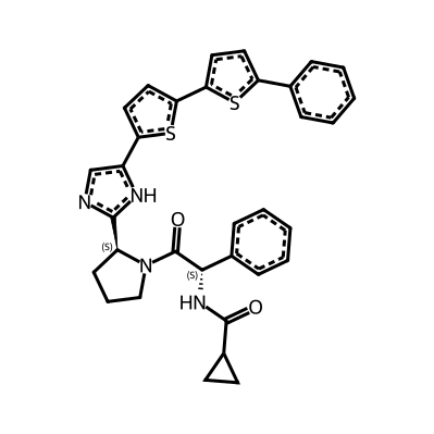 O=C(N[C@H](C(=O)N1CCC[C@H]1c1ncc(-c2ccc(-c3ccc(-c4ccccc4)s3)s2)[nH]1)c1ccccc1)C1CC1